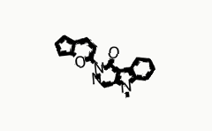 Cn1c2ccccc2c2c(=O)n(-c3ccc4cccc-4o3)ncc21